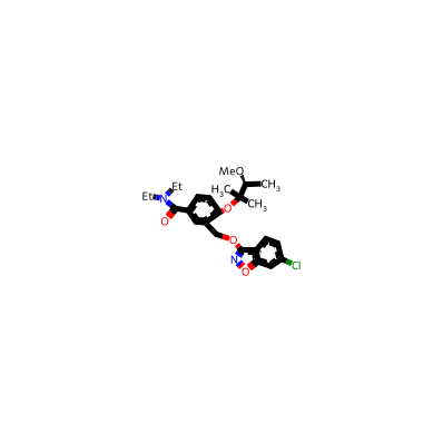 CCN(CC)C(=O)c1ccc(OC(C)(C)[C@H](C)OC)c(COc2noc3cc(Cl)ccc23)c1